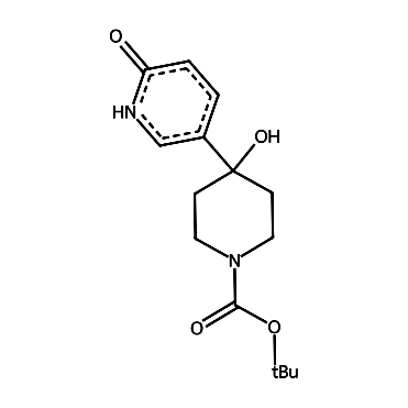 CC(C)(C)OC(=O)N1CCC(O)(c2ccc(=O)[nH]c2)CC1